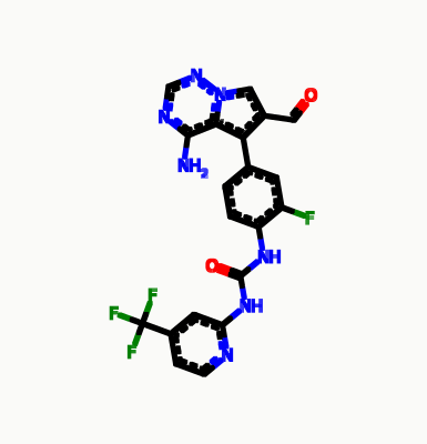 Nc1ncnn2cc(C=O)c(-c3ccc(NC(=O)Nc4cc(C(F)(F)F)ccn4)c(F)c3)c12